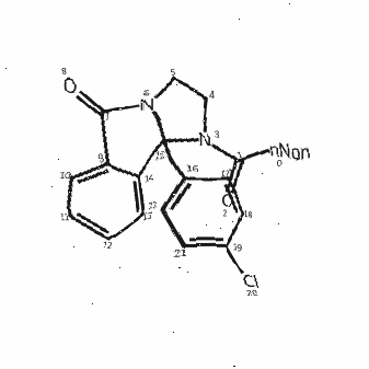 CCCCCCCCCC(=O)N1CCN2C(=O)c3ccccc3C12c1ccc(Cl)cc1